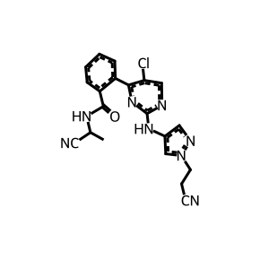 CC(C#N)NC(=O)c1ccccc1-c1nc(Nc2cnn(CCC#N)c2)ncc1Cl